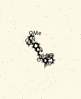 COc1cnc2c(c1)OCCN2c1ccc2cnc(CNC(=O)c3cc(F)c4c(c3)S(=O)(=O)[C@@H](F)CCO4)cc2c1